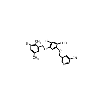 Cc1cc(Br)c(C)c(COc2cc(OCc3cncc(C#N)c3)c(C=O)cc2Cl)c1